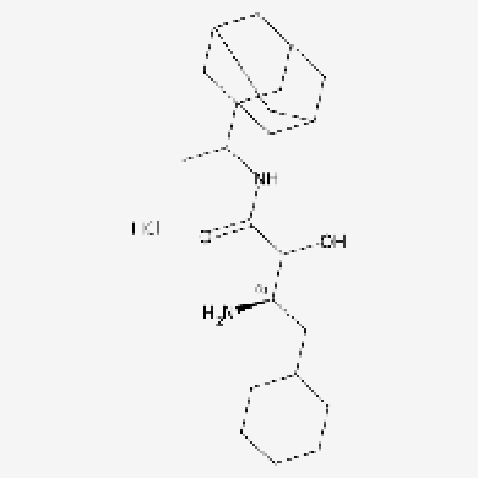 CC(NC(=O)C(O)[C@H](N)CC1CCCCC1)C12CC3CC(CC(C3)C1)C2.Cl